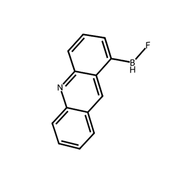 FBc1cccc2nc3ccccc3cc12